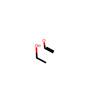 C=C[O].CCO